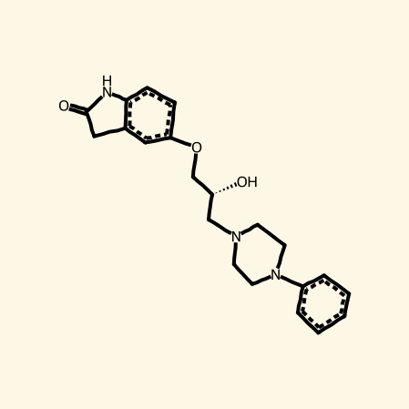 O=C1Cc2cc(OC[C@H](O)CN3CCN(c4ccccc4)CC3)ccc2N1